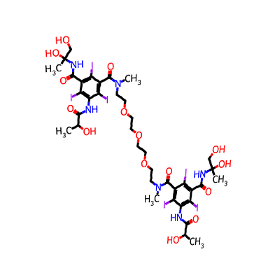 CC(O)C(=O)Nc1c(I)c(C(=O)NC(C)(O)CO)c(I)c(C(=O)N(C)CCOCCOCCOCCN(C)C(=O)c2c(I)c(NC(=O)C(C)O)c(I)c(C(=O)NC(C)(O)CO)c2I)c1I